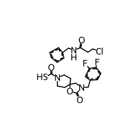 O=C(CCCl)NCc1ccccc1.O=C(S)N1CCC2(CC1)CN(Cc1ccc(F)c(F)c1)C(=O)O2